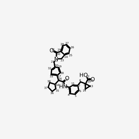 O=C(Nc1cccc(CC2(C(=O)O)CC2)c1)C(c1ccc(CN2Cc3ccccc3C2=O)cc1)C1CCCC1